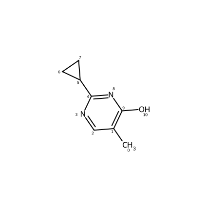 Cc1cnc(C2CC2)nc1O